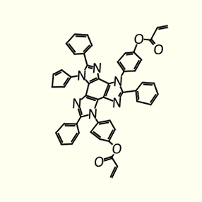 C=CC(=O)Oc1ccc(-n2c(-c3ccccc3)nc3c2c2nc(-c4ccccc4)n(C4=CCC=C4)c2c2nc(-c4ccccc4)n(-c4ccc(OC(=O)C=C)cc4)c23)cc1